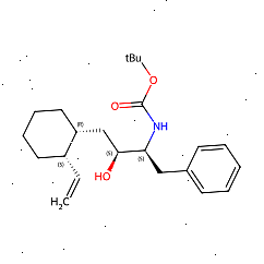 C=C[C@@H]1CCCC[C@@H]1C[C@H](O)[C@H](Cc1ccccc1)NC(=O)OC(C)(C)C